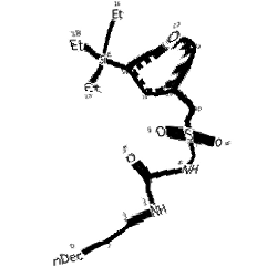 CCCCCCCCCCCCNC(=O)NS(=O)(=O)Cc1coc([Si](CC)(CC)CC)c1